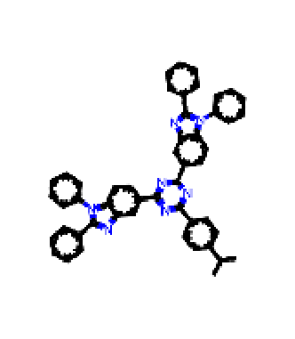 CC(C)c1ccc(-c2nc(-c3ccc4c(c3)nc(-c3ccccc3)n4-c3ccccc3)nc(-c3ccc4c(c3)nc(-c3ccccc3)n4-c3ccccc3)n2)cc1